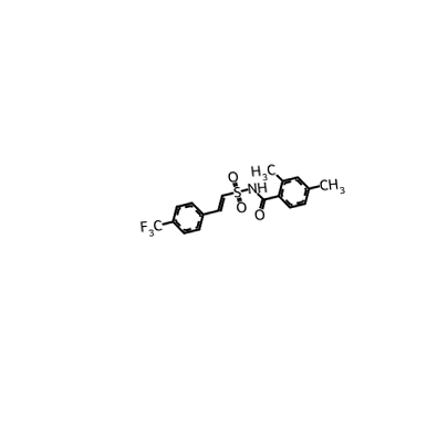 Cc1ccc(C(=O)NS(=O)(=O)C=Cc2ccc(C(F)(F)F)cc2)c(C)c1